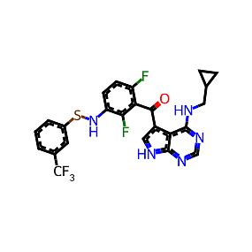 O=C(c1c(F)ccc(NSc2cccc(C(F)(F)F)c2)c1F)c1c[nH]c2ncnc(NCC3CC3)c12